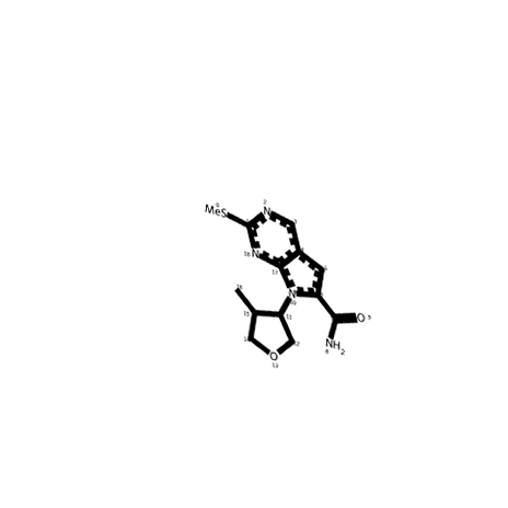 CSc1ncc2cc(C(N)=O)n(C3COCC3C)c2n1